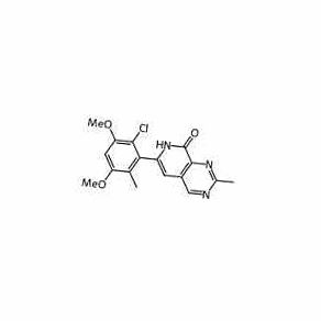 COc1cc(OC)c(Cl)c(-c2cc3cnc(C)nc3c(=O)[nH]2)c1C